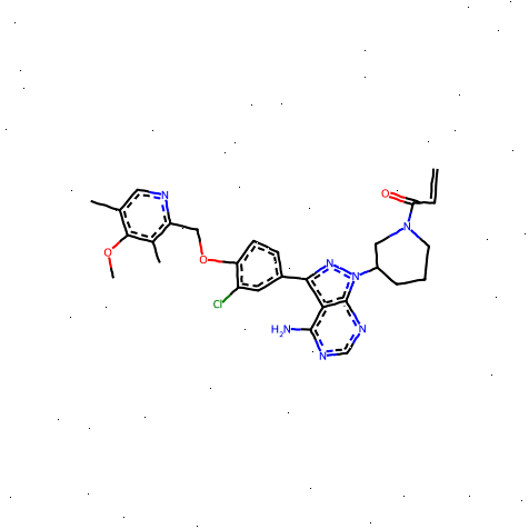 C=CC(=O)N1CCCC(n2nc(-c3ccc(OCc4ncc(C)c(OC)c4C)c(Cl)c3)c3c(N)ncnc32)C1